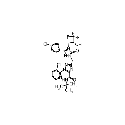 CC(C)(C)NC(=O)c1nc(Cn2nc(-c3ccc(Cl)cc3)n(CC(O)C(F)(F)F)c2=O)nn1-c1ncccc1Cl